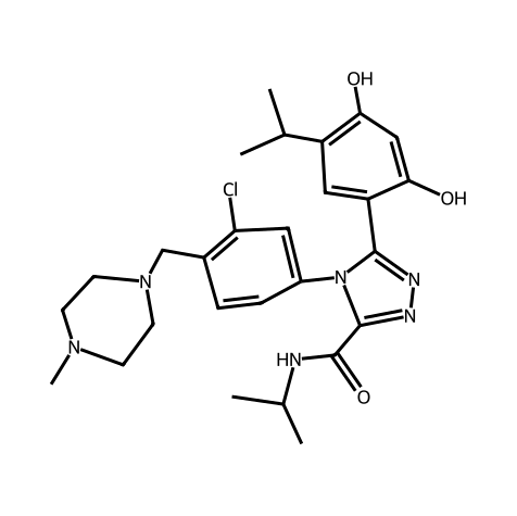 CC(C)NC(=O)c1nnc(-c2cc(C(C)C)c(O)cc2O)n1-c1ccc(CN2CCN(C)CC2)c(Cl)c1